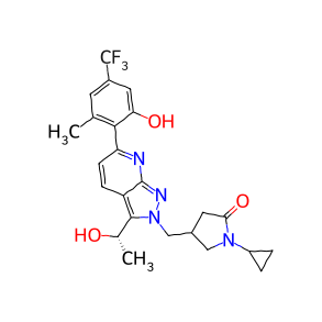 Cc1cc(C(F)(F)F)cc(O)c1-c1ccc2c([C@H](C)O)n(CC3CC(=O)N(C4CC4)C3)nc2n1